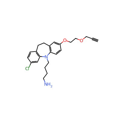 C#CCOCCOc1ccc2c(c1)CCc1ccc(Cl)cc1N2CCCCN